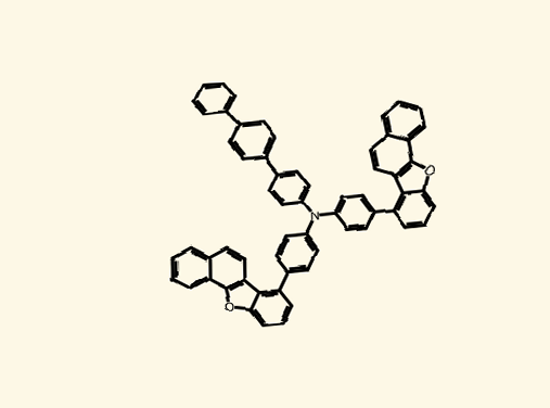 c1ccc(-c2ccc(-c3ccc(N(c4ccc(-c5cccc6oc7c8ccccc8ccc7c56)cc4)c4ccc(-c5cccc6oc7c8ccccc8ccc7c56)cc4)cc3)cc2)cc1